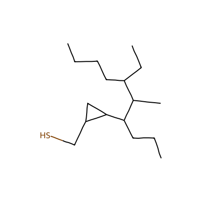 CCCCC(CC)C(C)C(CCC)C1CC1CS